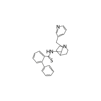 S=C(NC1C2CCN(CC2)C1Cc1cccnc1)c1ccccc1-c1ccccc1